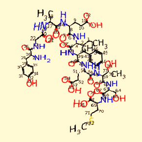 CC[C@H](C)[C@H](NC(=O)[C@H](CCC(=O)O)NC(=O)[C@H](C)NC(=O)CNC(=O)[C@@H](N)Cc1ccc(O)cc1)C(=O)N[C@@H](Cc1ccccc1)C(=O)N[C@@H](CCC(=O)O)C(=O)N[C@H](C(=O)N[C@@H](CO)C(=O)N[C@@H](CCSC)C(=O)O)[C@@H](C)O